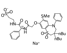 CCCCC1(CCCC)CN(c2ccccc2)c2cc(SC)c(OCC(=O)N[C@H](C(=O)NCCS(=O)(=O)[O-])c3ccccc3)cc2S(=O)(=O)C1.[Na+]